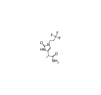 CC(C(N)=O)c1cn(CCC(F)(F)F)c(=O)[nH]1